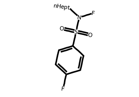 CCCCCCCN(F)S(=O)(=O)c1ccc(F)cc1